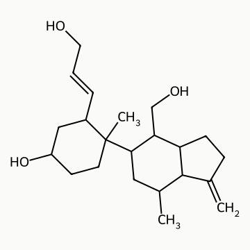 C=C1CCC2C(CO)C(C3(C)CCC(O)CC3C=CCO)CC(C)C12